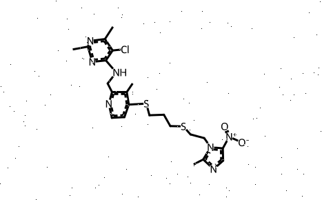 Cc1nc(C)c(Cl)c(NCc2nccc(SCCCSCCn3c([N+](=O)[O-])cnc3C)c2C)n1